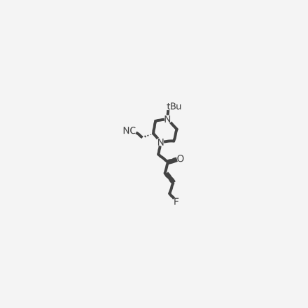 CC(C)(C)N1CCN(CC(=O)/C=C/CF)[C@H](CC#N)C1